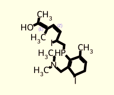 CCN(C)CC1=C(PCC(I)/C=C\C(C)=C(/C)O)C(C)=CCC1I